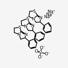 [Na+].[Na+].[Na+].[O]=[V]([O-])([O-])[O-].c1ccc(C2CN3CCSC3=N2)cc1.c1ccc(C2CN3CCSC3=N2)cc1.c1ccc(C2CN3CCSC3=N2)cc1